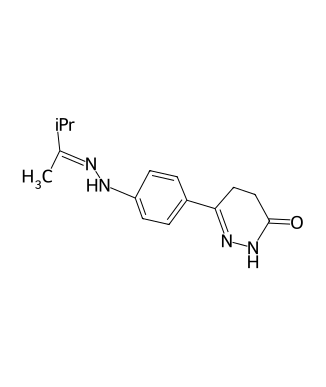 CC(=NNc1ccc(C2=NNC(=O)CC2)cc1)C(C)C